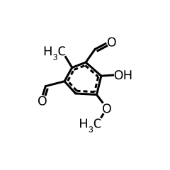 COc1cc(C=O)c(C)c(C=O)c1O